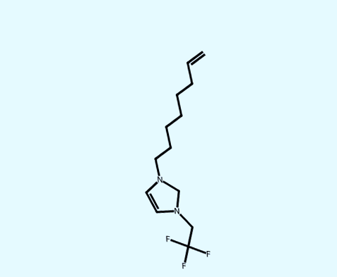 C=CCCCCCCN1C=CN(CC(F)(F)F)C1